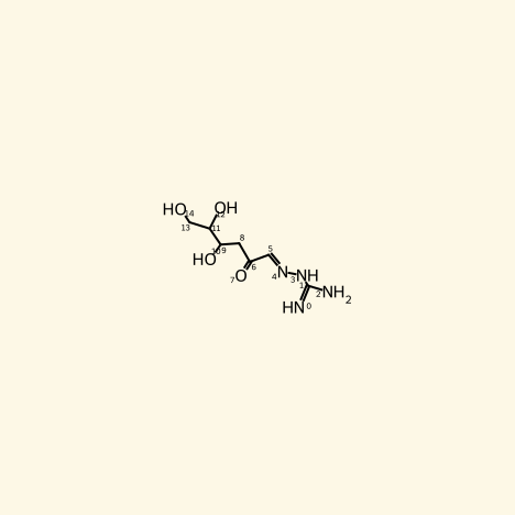 N=C(N)NN=CC(=O)CC(O)C(O)CO